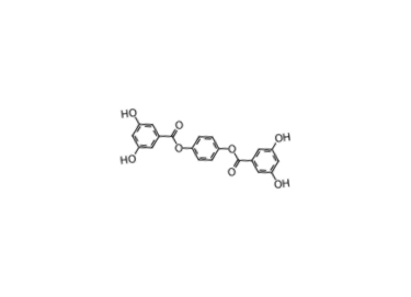 O=C(Oc1ccc(OC(=O)c2cc(O)cc(O)c2)cc1)c1cc(O)cc(O)c1